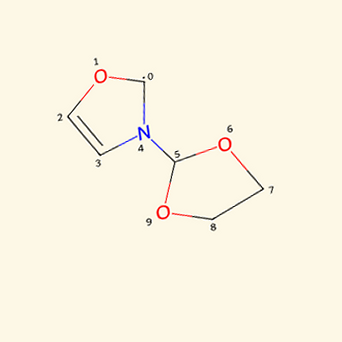 [CH]1OC=CN1C1OCCO1